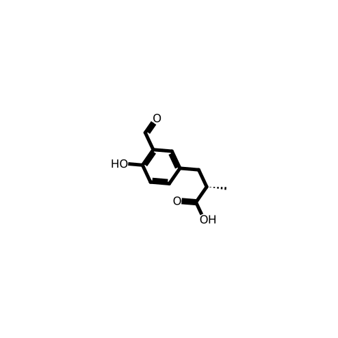 C[C@@H](Cc1ccc(O)c(C=O)c1)C(=O)O